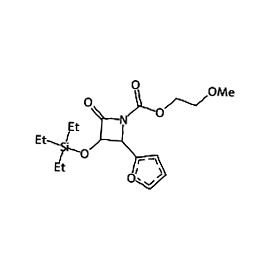 CC[Si](CC)(CC)OC1C(=O)N(C(=O)OCCOC)C1c1ccco1